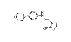 O=C1OCCN1CCNc1ccc(N2CCOCC2)cc1